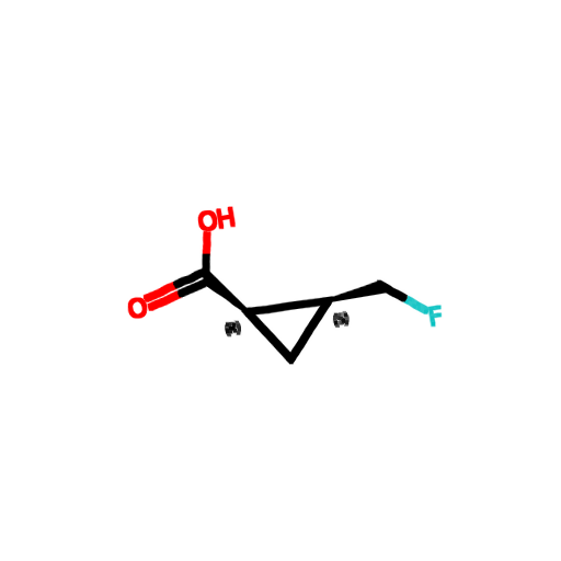 O=C(O)[C@@H]1C[C@@H]1CF